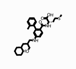 CSCC[C@H](NC(=O)c1ccc(NCC(CO)CC2CCCCC2)cc1-c1ccccc1C)C(=O)O